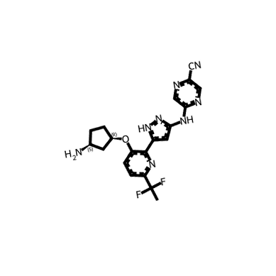 CC(F)(F)c1ccc(O[C@@H]2CC[C@H](N)C2)c(-c2cc(Nc3cnc(C#N)cn3)n[nH]2)n1